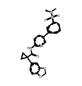 CN(C)S(=O)(=O)c1cccc(-c2ccc(NC(=O)C3(c4ccc5c(c4)OCO5)CC3)nc2)c1